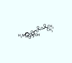 CC(C)C(=O)COCC(=O)OCC1O[C@@H](n2ccc(N)nc2=O)C(F)(F)[C@H]1O